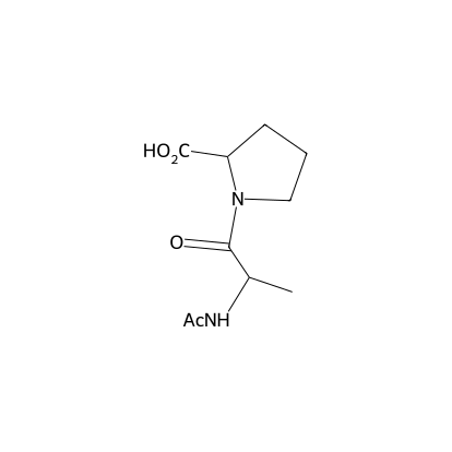 CC(=O)NC(C)C(=O)N1CCCC1C(=O)O